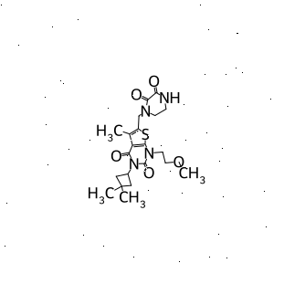 COCCn1c(=O)n(C2CC(C)(C)C2)c(=O)c2c(C)c(CN3CCNC(=O)C3=O)sc21